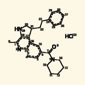 Cc1nc2ccc(C(=O)N3CCCCC3)cc2c2c1NCC2CCc1ccccc1.Cl